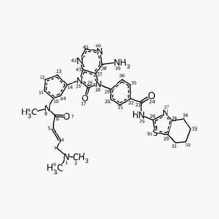 CN(C)CC=CC(=O)N(C)c1cccc(-n2c(=O)n(-c3ccc(C(=O)Nc4nc5c(s4)CCCC5)cc3)c3c(N)ncnc32)c1